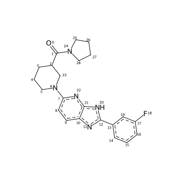 O=C(C1CCCN(c2ccc3nc(-c4cccc(F)c4)[nH]c3n2)C1)N1CCCC1